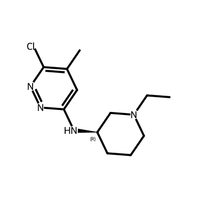 CCN1CCC[C@@H](Nc2cc(C)c(Cl)nn2)C1